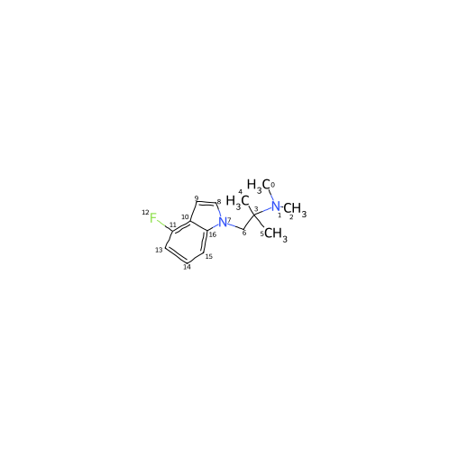 CN(C)C(C)(C)Cn1ccc2c(F)cccc21